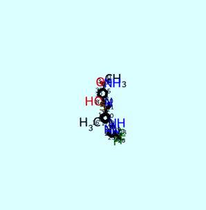 CNC(=O)[C@H]1CC[C@@](O)(c2ncc(-c3cc(C)cc(Nc4nccc(C(F)(F)F)n4)c3)s2)CC1